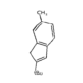 Cc1ccc2c(c1)[CH]C(C(C)(C)C)=C2